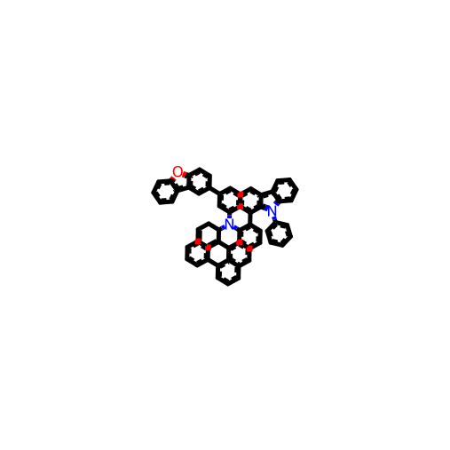 C1=CCC(N(c2cccc(-c3ccc4oc5ccccc5c4c3)c2)c2ccccc2-c2cccc3c4ccccc4n(-c4ccccc4)c23)C(c2cccc3cccc(-c4ccccc4)c23)=C1